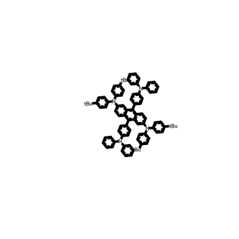 CC(C)(C)c1ccc(N(c2ccc(C(C)(C)C)cc2)c2ccc3c(-c4ccc(N(c5ccccc5)c5ccccc5)cc4)c4cc(N(c5ccc(C(C)(C)C)cc5)c5ccc(C(C)(C)C)cc5)ccc4c(-c4ccc(N(c5ccccc5)c5ccccc5)cc4)c3c2)cc1